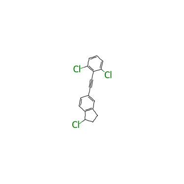 Clc1cccc(Cl)c1C#Cc1ccc2c(c1)CCC2Cl